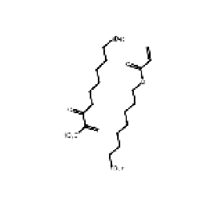 C=C(C(=O)O)C(=O)CCCCCCCCCCCCCCCC.C=CC(=O)OCCCCCCCCCCCCCCCCC